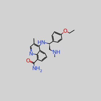 CCOc1ccc([C@@H](CNC)Nc2c(C)cnc3c(C(N)=O)cccc23)cc1